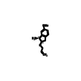 C=CCO[C@@H]1Cc2ccc(OC)cc2[C@H]1N